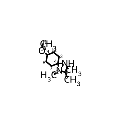 CCN(C)C1(NC)CCC(OC)CC1